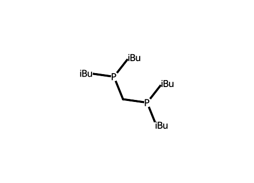 CCC(C)P(CP(C(C)CC)C(C)CC)C(C)CC